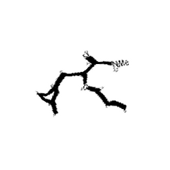 C=CCOC(CC1CC1C)C(=O)NC